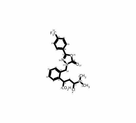 CN(C)C(Cl)CC(C(=O)O)c1ccccc1Cn1nc(-c2ccc(C(F)(F)F)cc2)oc1=O